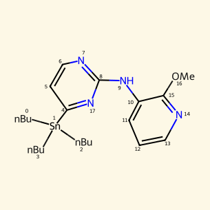 CCC[CH2][Sn]([CH2]CCC)([CH2]CCC)[c]1ccnc(Nc2cccnc2OC)n1